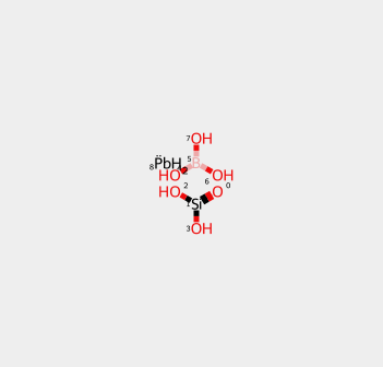 O=[Si](O)O.OB(O)O.[PbH2]